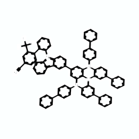 N#Cc1ccc(-c2ccccc2-n2c3ccccc3c3cc(-c4cc5c6c(c4)N(c4ccc(-c7ccccc7)cc4)c4ccc(-c7ccccc7)cc4B6c4cc(-c6ccccc6)ccc4N5c4ccc(-c5ccccc5)cc4)ccc32)c(C(F)(F)F)c1